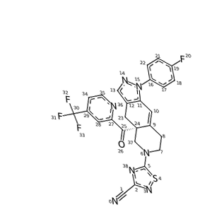 N#Cc1nsc(N2CCC3=Cc4c(cnn4-c4ccc(F)cc4)C[C@]3(C(=O)c3cc(C(F)(F)F)ccn3)C2)n1